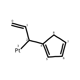 C=C[CH]([Pt])C1=CC=CC1